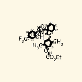 CCCCN1C2OC1(C1(CSc3cc(C)c(OCC(=O)OCC)cc3C)C=CC=CC1)NN2c1ccc(C(F)(F)F)cc1